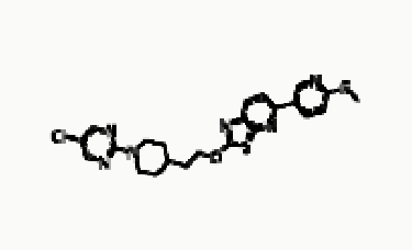 CSc1ccc(-c2ccc3nc(OCCC4CCN(c5ncc(Cl)cn5)CC4)sc3n2)cn1